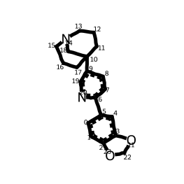 c1cc2c(cc1-c1ccc(C34CCCN(CCC3)C4)cn1)OCO2